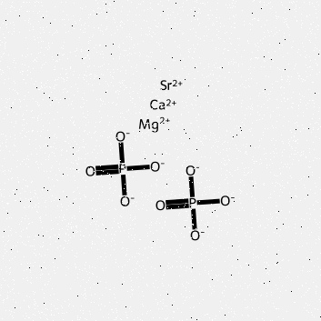 O=P([O-])([O-])[O-].O=P([O-])([O-])[O-].[Ca+2].[Mg+2].[Sr+2]